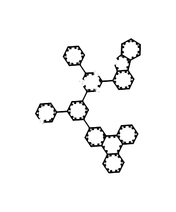 c1ccc(-c2nc(-c3cc(-c4cccnc4)cc(-c4ccc5c6ccccc6c6ccccc6c5c4)c3)nc(-c3cccc4c3oc3ccccc34)n2)cc1